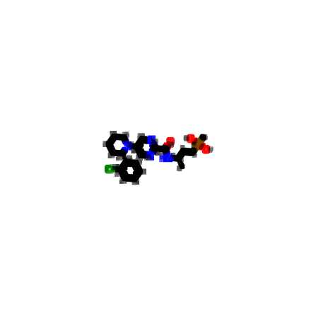 C[C@H](/C=C/S(C)(=O)=O)NC(=O)c1ncc(N2CCCC[C@H]2c2ccccc2Cl)cn1